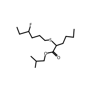 CCCCC(SCCCC(F)CC)C(=O)OCC(C)C